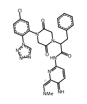 CN/C=C1/N=C(NC(=O)C(Cc2ccccc2)N2CC(=O)N(c3cc(Cl)ccc3-n3cnnn3)CC2=O)C=CC1=N